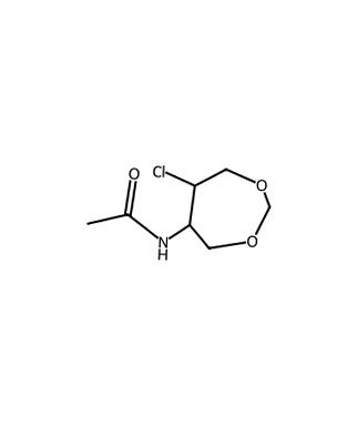 CC(=O)NC1COCOCC1Cl